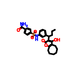 CCCC(c1cccc(NS(=O)(=O)c2ccc(C(N)=O)cc2)c1)c1c(O)c2c(oc1=O)CCCCCC2